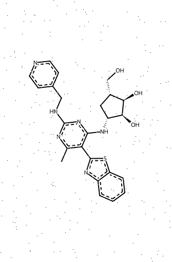 Cc1nc(NCc2ccncc2)nc(N[C@@H]2C[C@H](CO)[C@@H](O)[C@H]2O)c1-c1nc2ccccc2s1